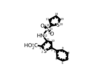 O=C(O)c1sc(-c2ccccc2)cc1NS(=O)(=O)c1cccs1